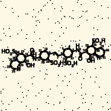 O=C(Nc1ccc(/C=C/c2ccc(NC(=O)c3cc(S(=O)(=O)O)c4cccnc4c3O)cc2S(=O)(=O)O)c(S(=O)(=O)O)c1)c1cc(S(=O)(=O)O)c2cccnc2c1O